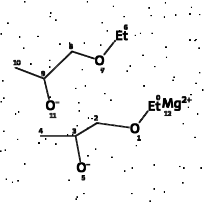 CCOCC(C)[O-].CCOCC(C)[O-].[Mg+2]